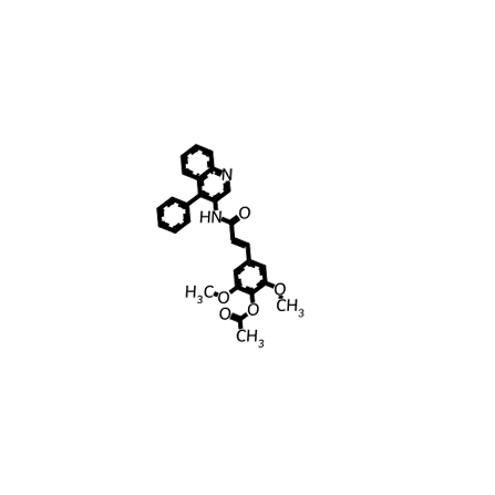 COc1cc(C=CC(=O)Nc2cnc3ccccc3c2-c2ccccc2)cc(OC)c1OC(C)=O